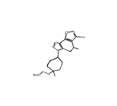 COCOC1(C)CCC(n2ncc3c2CC(C)c2c(C(C)=O)noc2-3)CC1